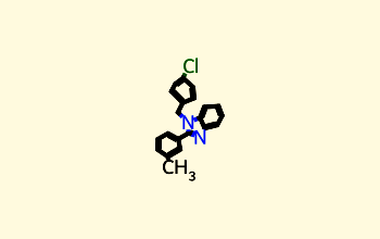 Cc1cccc(-c2nc3ccccc3n2Cc2ccc(Cl)cc2)c1